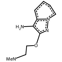 CNCCOc1nn2ccccc2c1N